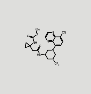 CC(C)(C)OC(=O)NC1(CC(=O)N[C@@H]2C[C@H](C(F)(F)F)CN(c3ccc(C#N)c4nccnc34)C2)CC1